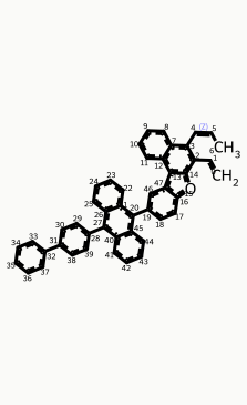 C=Cc1c(/C=C\C)c2ccccc2c2c1oc1ccc(-c3c4ccccc4c(-c4ccc(-c5ccccc5)cc4)c4ccccc34)cc12